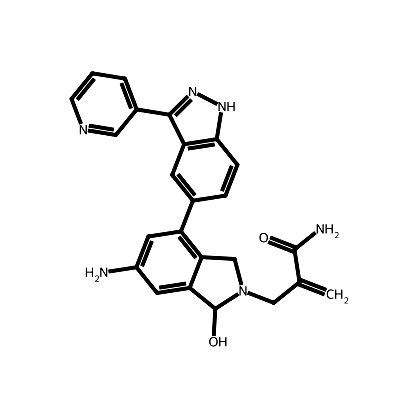 C=C(CN1Cc2c(-c3ccc4[nH]nc(-c5cccnc5)c4c3)cc(N)cc2C1O)C(N)=O